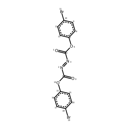 O=C(N=NC(=O)Oc1ccc(Br)cc1)Oc1ccc(Br)cc1